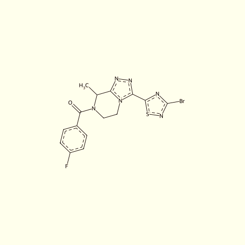 CC1c2nnc(-c3nc(Br)ns3)n2CCN1C(=O)c1ccc(F)cc1